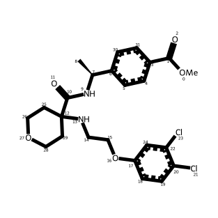 COC(=O)c1ccc([C@H](C)NC(=O)C2(NCCOc3ccc(Cl)c(Cl)c3)CCOCC2)cc1